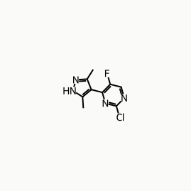 Cc1n[nH]c(C)c1-c1nc(Cl)ncc1F